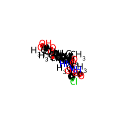 CC(C)C1=C2[C@H]3CC[C@@H]4[C@@]5(C)CC[C@H](OC(=O)[C@H]6C[C@@H](C(=O)O)C6(C)C)C(C)(C)[C@@H]5CC[C@@]4(C)[C@]3(C)CC[C@@]2(NC(=O)C(C)(C)NC(=O)c2ccc(Cl)cc2O[C@H]2CCOC2)CC1=O